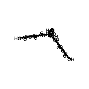 O=C(CCCCC(=O)OCCOCCOC(=O)CCCO)OCCNc1ccc(NCCOC(=O)CCCCC(=O)OCCOCCOC(=O)CCCO)c2c1C(=O)c1ccccc1C2=O